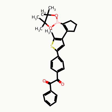 Cc1sc(-c2ccc(C(=O)C(=O)c3ccccc3)cc2)cc1C1=C(B2OC(C)(C)C(C)(C)O2)CCC1